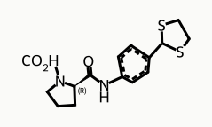 O=C(Nc1ccc(C2SCCS2)cc1)[C@H]1CCCN1C(=O)O